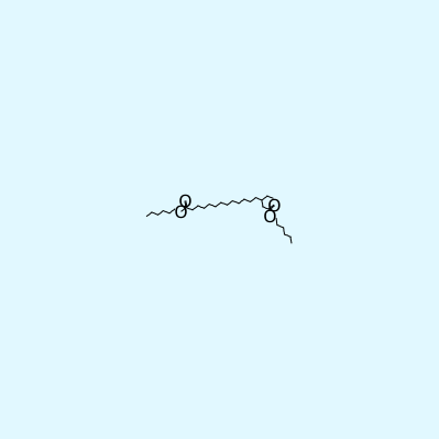 CCCCCCOC(=O)CCCCCCCCCCCCC(CC)CC(=O)OCCCCCC